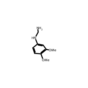 COc1ccc(NCN)cc1OC